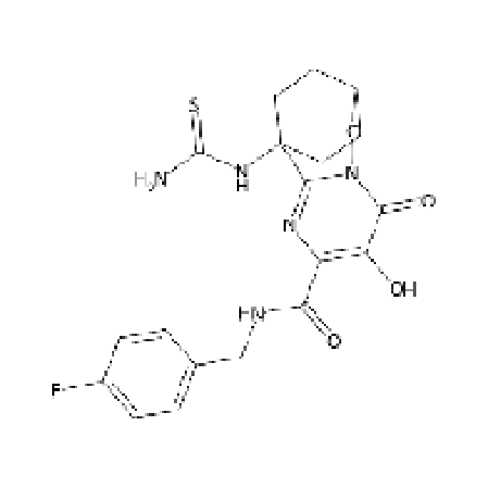 NC(=S)NC12CCC(CC1)Cn1c2nc(C(=O)NCc2ccc(F)cc2)c(O)c1=O